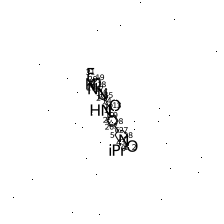 CC(C)C(=O)N1CCC(c2ccc(NC(=O)C3CN(c4ccc(F)nn4)C3)cc2)CC1